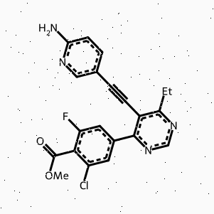 CCc1ncnc(-c2cc(F)c(C(=O)OC)c(Cl)c2)c1C#Cc1ccc(N)nc1